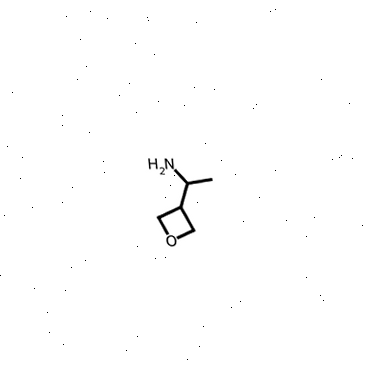 CC(N)C1COC1